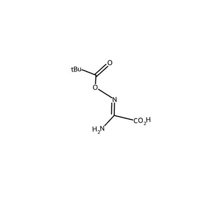 CC(C)(C)C(=O)O/N=C(\N)C(=O)O